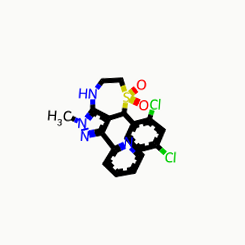 Cn1nc(-c2ccccn2)c2c1NCCS(=O)(=O)C2c1ccc(Cl)cc1Cl